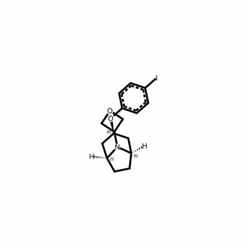 Ic1ccc(O[C@H]2C[C@H]3CC[C@@H](C2)N3C2COC2)cc1